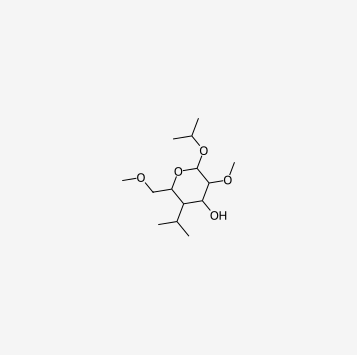 COCC1OC(OC(C)C)C(OC)C(O)C1C(C)C